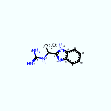 CCOC(=O)C(NC(=N)N)c1nc2ccccc2[nH]1